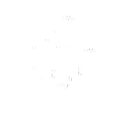 COCCOCOc1cc(C(ON=C(C(=O)O)c2csc(NC(c3ccccc3)(c3ccccc3)c3ccccc3)n2)C(=O)OC(c2ccccc2)c2ccccc2)cc(Cl)c1OCOCCOC